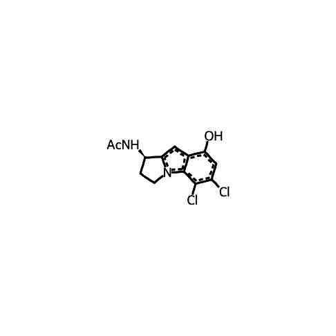 CC(=O)N[C@@H]1CCn2c1cc1c(O)cc(Cl)c(Cl)c12